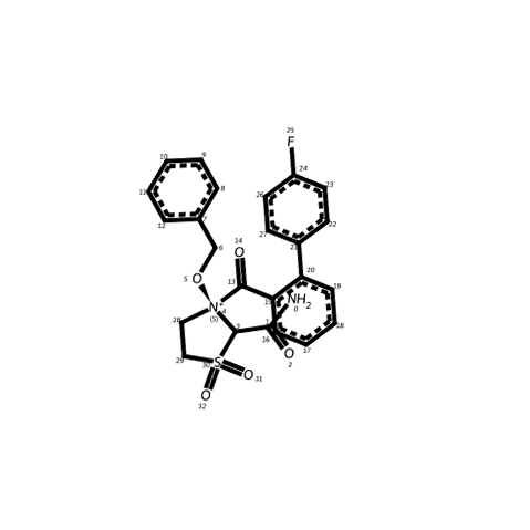 NC(=O)C1[N@@+](OCc2ccccc2)(C(=O)c2ccccc2-c2ccc(F)cc2)CCS1(=O)=O